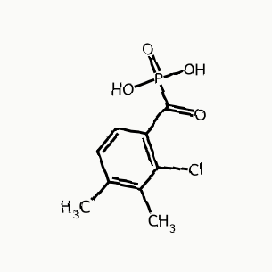 Cc1ccc(C(=O)P(=O)(O)O)c(Cl)c1C